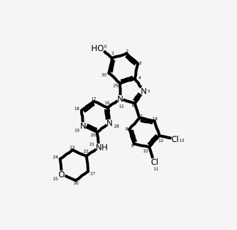 Oc1ccc2nc(-c3ccc(Cl)c(Cl)c3)n(-c3ccnc(NC4CCOCC4)n3)c2c1